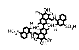 Cc1cc2c(c(O)c1-c1c(C)cc3c(c1O)/C(=C/Nc1c(O)cc(S(=O)(=O)O)c4ccccc14)C(=O)C(O)=C3C(C)C)/C(=C/Nc1c(O)ccc3c(S(=O)(=O)O)cccc13)C(=O)C(O)=C2C(C)C